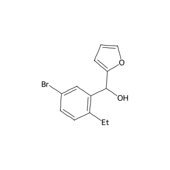 CCc1ccc(Br)cc1C(O)c1ccco1